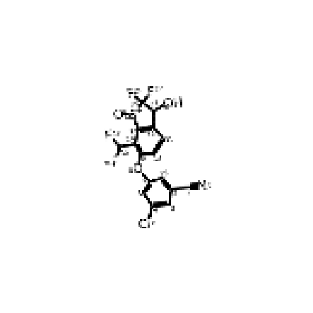 N#Cc1cc(Cl)cc(Oc2ccc3c(c2C(F)F)[S+]([O-])C(F)(F)C3O)c1